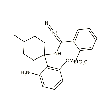 CCOC(=O)c1ccccc1C(=[N+]=[N-])NC1(c2c(N)cccc2OC)CCC(C)CC1